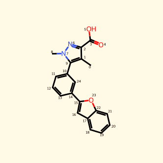 Cc1c(C(=O)O)nn(C)c1-c1cccc(-c2cc3ccccc3o2)c1